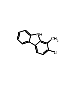 Cc1c(Cl)ccc2c1[nH]c1ccccc12